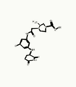 CC(C)(C)OC(=O)N1CCN(CC(=O)Nc2cc(Cl)cc(NC3CCC(=O)NC3=O)c2)[C@@H](C(F)(F)F)C1